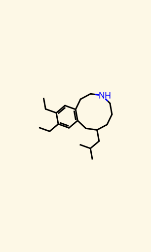 CCc1cc2c(cc1CC)CC(CC(C)C)CCCNCC2